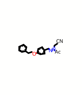 CC(=O)N(CCC#N)N=Cc1ccc(OCCc2ccccc2)cc1